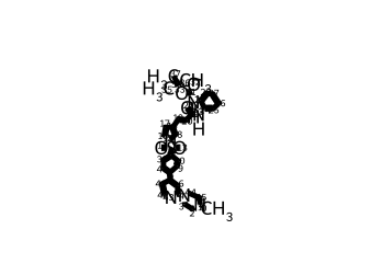 CN1CCN(c2cc(-c3ccc(S(=O)(=O)n4ccc(C=CC(=O)Nc5ccccc5NC(=O)OC(C)(C)C)c4)cc3)ccn2)CC1